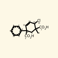 CC1(C(=O)O)CC(C(=O)O)(c2ccccc2)C=CC1Cl